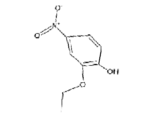 CCOc1cc([N+](=O)[O-])ccc1O